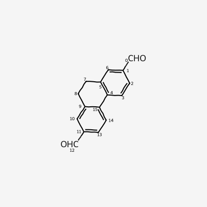 O=Cc1ccc2c(c1)CCc1cc(C=O)ccc1-2